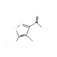 COC(=O)c1n[nH]c(C(=O)O)c1I